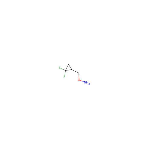 NOCC1CC1(F)F